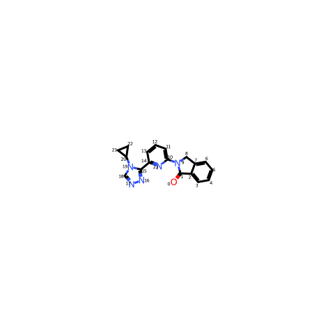 O=C1c2ccccc2CN1c1cccc(-c2nncn2C2CC2)n1